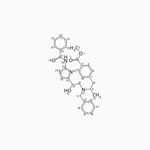 COC(=O)c1ccc(CC(C)N(Cc2ccccc2)CC(O)c2csc(NC(=O)c3ccccc3)n2)cc1